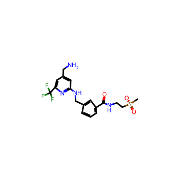 CS(=O)(=O)CCNC(=O)c1cccc(CNc2cc(CN)cc(C(F)(F)F)n2)c1